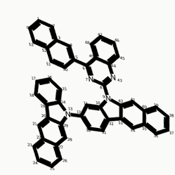 c1ccc2cc(-c3nc(-n4c5cc(-n6c7ccccc7c7cc8ccccc8cc76)ccc5c5cc6ccccc6cc54)nc4ccccc34)ccc2c1